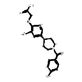 O=C(O)CNc1ncc(C2CCN(C(=O)c3ccc(Cl)cc3)CC2)cc1O